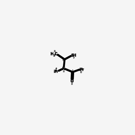 CC(C)C(=O)N(C(C)C)C(C)S